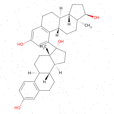 C[C@]12CC[C@@H]3c4c(cc(O)cc4[C@@]4(O)CC[C@H]5[C@@H]6CCc7cc(O)ccc7[C@H]6CC[C@@]54C)CC[C@H]3[C@@H]1CC[C@H]2O